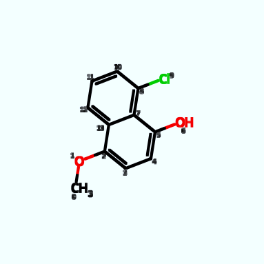 COc1ccc(O)c2c(Cl)cccc12